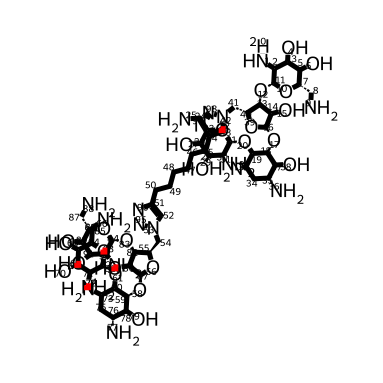 [2H]NC1C(O)C(O)[C@H](CN)O[C@@H]1O[C@@H]1C(O)[C@H](O[C@H]2C(O[C@H]3OC(CN)C(O)[C@H](O)C3N)C(N)C[C@@H](N)C2O)O[C@@H]1Cn1cc(CCCCCCc2cn(C[C@H]3O[C@@H](O[C@H]4C(O[C@H]5OC(CN)C(O)[C@H](O)C5N)C(N)C[C@@H](N)C4O)C(O)[C@H]3O[C@H]3O[C@@H](CN)C(O)C(O)C3N)nn2)nn1